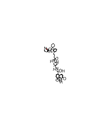 O=C(CCCc1cccc(C2(C(=O)O[C@H]3CN4CCC3CC4)CCCCC2)c1)Nc1ncc(CNC[C@@H](O)c2ccc(O)c3[nH]c(=O)ccc23)s1